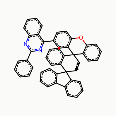 c1ccc(-c2nc(-c3ccc4c(c3)C3(c5ccccc5O4)c4ccccc4C4(c5ccccc5-c5ccccc54)c4ccccc43)c3ccccc3n2)cc1